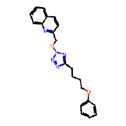 c1ccc(OCCCCc2nnn(OCc3ccc4ccccc4n3)n2)cc1